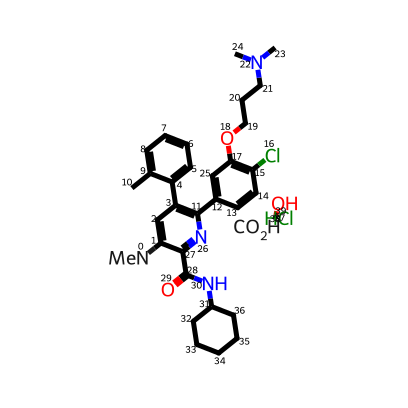 CNc1cc(-c2ccccc2C)c(-c2ccc(Cl)c(OCCCN(C)C)c2)nc1C(=O)NC1CCCCC1.Cl.O=C(O)O